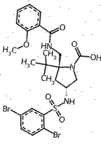 COc1ccccc1C(=O)NC[C@]1(C(C)(C)C)C[C@@H](NS(=O)(=O)c2cc(Br)ccc2Br)CN1C(=O)O